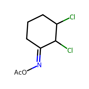 CC(=O)ON=C1CCCC(Cl)C1Cl